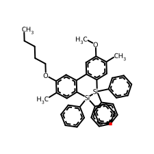 CCCCCOc1cc2c(cc1C)[Si](c1ccccc1)(c1ccccc1)[Si](c1ccccc1)(c1ccccc1)c1cc(C)c(OC)cc1-2